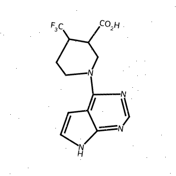 O=C(O)C1CN(c2ncnc3[nH]ccc23)CCC1C(F)(F)F